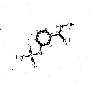 CS(=O)(=O)Nc1cccc(C(=N)NO)c1